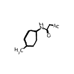 CC(=O)CC(=O)NC1CCC(C)CC1